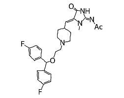 CC(=O)N=C1NC(=O)C(=CC2CCN(CCOC(c3ccc(F)cc3)c3ccc(F)cc3)CC2)N1C